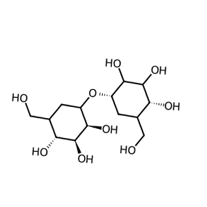 OCC1C[C@H](OC2CC(CO)[C@@H](O)[C@H](O)[C@@H]2O)C(O)C(O)[C@@H]1O